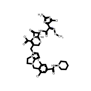 CO/N=C(\C(=O)N[C@@H]1C(=O)N2C(C(=O)[O-])=C(C[n+]3ccc4n3CCN4Cc3c(F)cc(C(=O)NN4CCCCC4)cc3Cl)CS[C@H]12)c1nc(N)sc1Cl